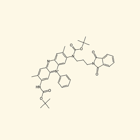 Cc1cc2nc3cc(C)c(N(CCCN4C(=O)c5ccccc5C4=O)C(=O)OC(C)(C)C)cc3[n+](-c3ccccc3)c2cc1NC(=O)OC(C)(C)C